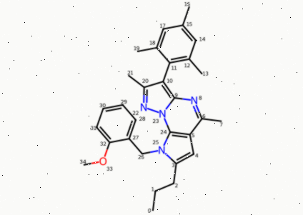 CCCc1cc2c(C)nc3c(-c4c(C)cc(C)cc4C)c(C)nn3c2n1Cc1ccccc1OC